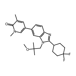 COC(C)(C)Cn1c(C2CCC(F)(F)CC2)nc2ccc(-c3cc(C)c(=O)n(C)c3)cc21